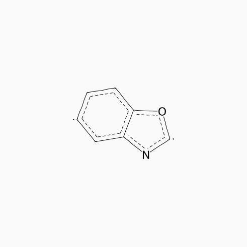 [c]1ccc2o[c]nc2c1